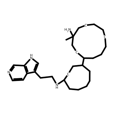 CC1(N)CCCCCCCCC(C2CCCCCC(NCCc3c[nH]c4cnccc34)CC2)CC1